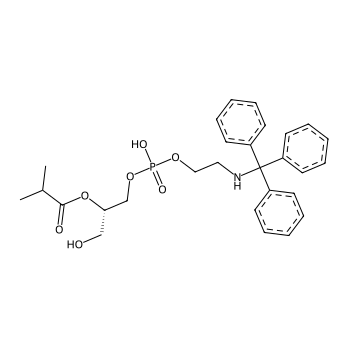 CC(C)C(=O)O[C@@H](CO)COP(=O)(O)OCCNC(c1ccccc1)(c1ccccc1)c1ccccc1